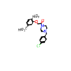 O=C(O)c1ccc([N+](=O)[O-])c(OCC(=O)N2CCN(Cc3ccc(Cl)cc3)CC2)c1